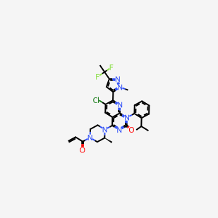 C=CC(=O)N1CCN(c2nc(=O)n(-c3ccccc3C(C)C)c3nc(-c4cc(C(C)(F)F)nn4C)c(Cl)cc23)[C@@H](C)C1